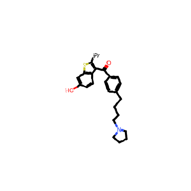 CC(C)c1sc2cc(O)ccc2c1C(=O)c1ccc(CCCCN2CCCC2)cc1